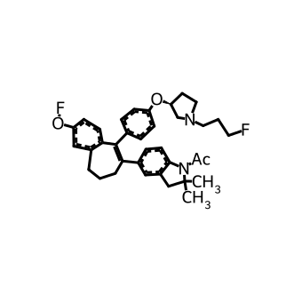 CC(=O)N1c2ccc(C3=C(c4ccc(O[C@H]5CCN(CCCF)C5)cc4)c4ccc(OF)cc4CCC3)cc2CC1(C)C